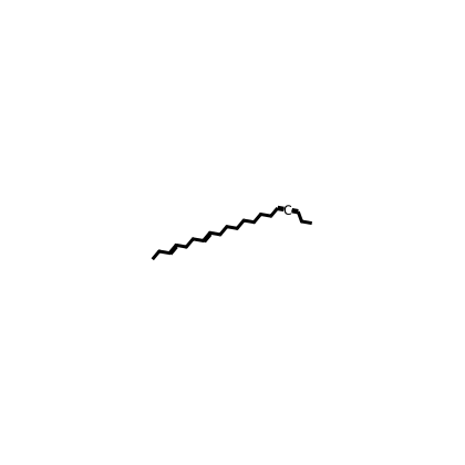 CCC=C=CCCCCCCCC=CCCC=CCC